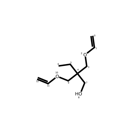 C=COCC(CC)(CO)COC=C